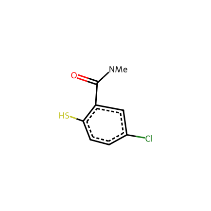 CNC(=O)c1cc(Cl)ccc1S